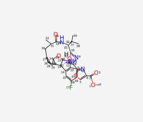 COC(=O)c1coc(-c2nc3oc2[C@@]24c5cc(F)ccc5N[C@@H]2Oc2ccc(cc24)CC(C)C(=O)N[C@H]3C(C)C)n1